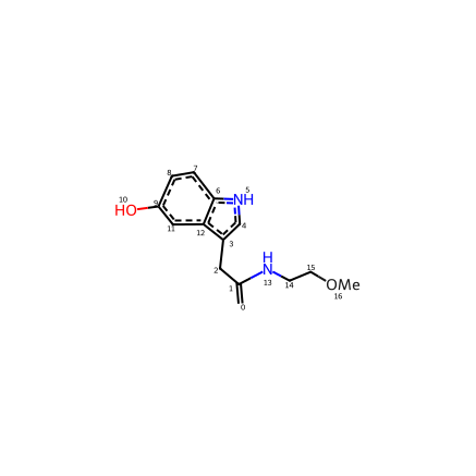 C=C(Cc1c[nH]c2ccc(O)cc12)NCCOC